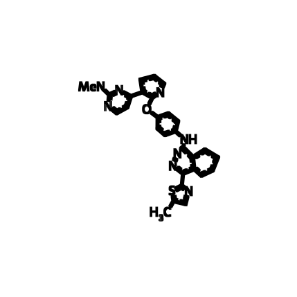 CNc1nccc(-c2cccnc2Oc2ccc(Nc3nnc(-c4ncc(C)s4)c4ccccc34)cc2)n1